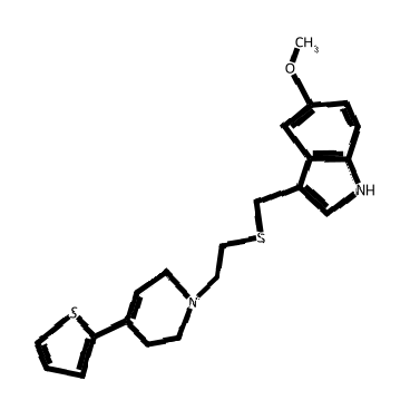 COc1ccc2[nH]cc(CSCCN3CC=C(c4cccs4)CC3)c2c1